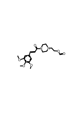 COc1cc(/C=C/C(=O)N2CCN(CCOC=O)CC2)cc(OC)c1OC